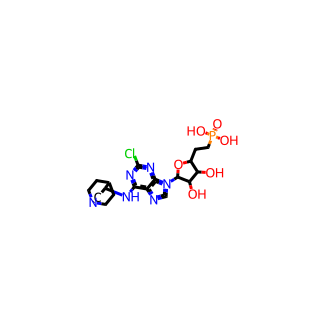 O=P(O)(O)CCC1OC(n2cnc3c(NC4CN5CCC4CC5)nc(Cl)nc32)C(O)C1O